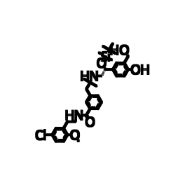 COc1ccc(Cl)cc1CCNC(=O)c1cccc(CC(C)(C)NC[C@H](O[Si](C)(C)C(C)(C)C)c2ccc(O)c(CO)c2)c1